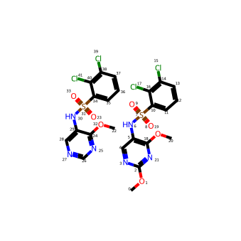 COc1ncc(NS(=O)(=O)c2cccc(Cl)c2Cl)c(OC)n1.COc1ncncc1NS(=O)(=O)c1cccc(Cl)c1Cl